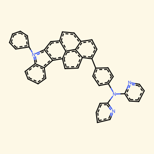 c1ccc(-n2c3ccccc3c3c4ccc5c(-c6ccc(N(c7ccccn7)c7ccccn7)cc6)ccc6ccc(cc32)c4c65)cc1